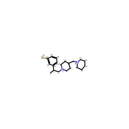 CC(CN1CCC(CN2CCCCC2)CC1)c1cccc(Br)c1